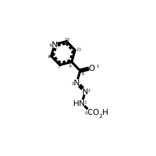 O=C(O)NN=NC(=O)c1ccncc1